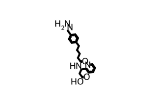 NN=Cc1ccc(CCCCC(=O)NC(CC(=O)O)c2ccccn2)cc1